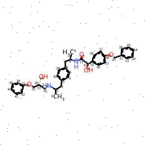 CC(Cc1ccc(CC(C)NC(=O)C(O)c2ccc(OCc3ccccc3)cc2)cc1)NC[C@@H](O)COc1ccccc1